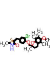 C=c1[nH]c(=O)/c(=C\c2ccc(OC[C@]3(C)CCc4c(C)c(OC)c(C)c(C)c4O3)c(Br)c2)s1